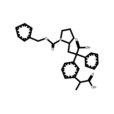 CC(C(=O)O)c1cccc(C(CC2CCCN2C(=O)OCc2ccccc2)(C(=O)O)c2ccccc2)c1